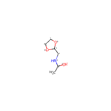 CC(O)NCC1OCCO1